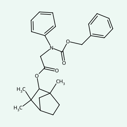 CC12CCC(C1)C(C)(C)C2OC(=O)CN(C(=O)OCc1ccccc1)c1ccccc1